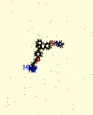 c1ccc2c(Cc3ccc(OCCN4CCCC4)cc3)c(-c3ccc(OCCCc4nnn[nH]4)cc3)sc2c1